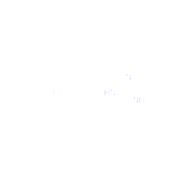 COC(=O)c1cccc2nc(Nc3ccccc3)[nH]c12